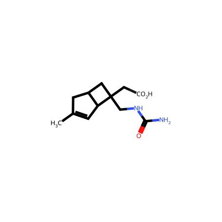 CC1=CC2C(C1)CC2(CNC(N)=O)CC(=O)O